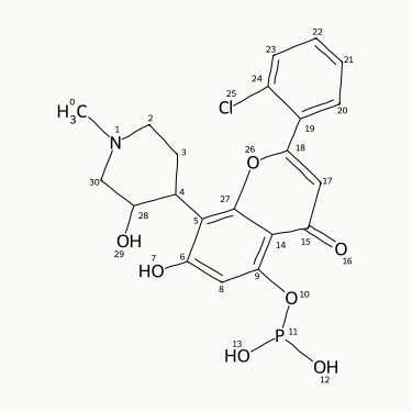 CN1CCC(c2c(O)cc(OP(O)O)c3c(=O)cc(-c4ccccc4Cl)oc23)C(O)C1